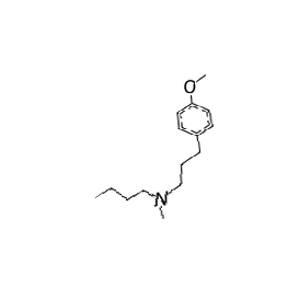 CCCCN(C)CCCc1ccc(OC)cc1